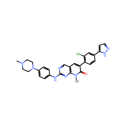 CCn1c(=O)c(-c2ccc(-c3ccn[nH]3)cc2Cl)cc2cnc(Nc3ccc(N4CCN(C)CC4)cc3)nc21